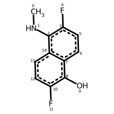 CNc1c(F)ccc2c(O)c(F)ccc12